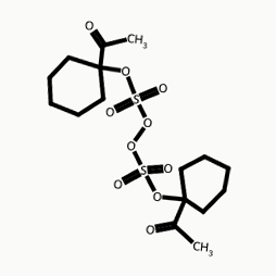 CC(=O)C1(OS(=O)(=O)OOS(=O)(=O)OC2(C(C)=O)CCCCC2)CCCCC1